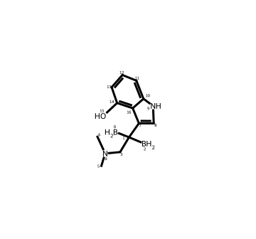 BC(B)(CN(C)C)c1c[nH]c2cccc(O)c12